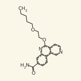 CCCCCOCCOc1nc2cc(C(N)=O)ccc2c2cnccc12